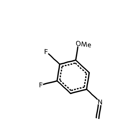 C=Nc1cc(F)c(F)c(OC)c1